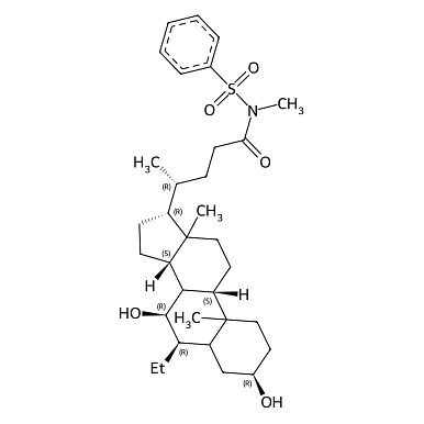 CC[C@@H]1C2C[C@H](O)CCC2(C)[C@H]2CCC3(C)[C@@H]([C@H](C)CCC(=O)N(C)S(=O)(=O)c4ccccc4)CC[C@H]3C2[C@@H]1O